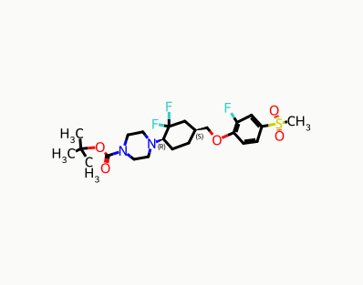 CC(C)(C)OC(=O)N1CCN([C@@H]2CC[C@H](COc3ccc(S(C)(=O)=O)cc3F)CC2(F)F)CC1